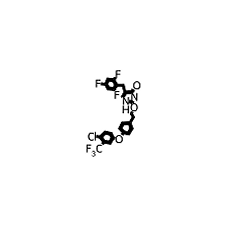 O=c1nc(OCCc2ccc(Oc3ccc(Cl)c(C(F)(F)F)c3)cc2)[nH]cc1Cc1c(F)cc(F)cc1F